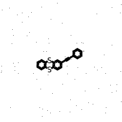 C(#Cc1ccc2c(c1)Sc1ccccc1S2)c1cc[c]cc1